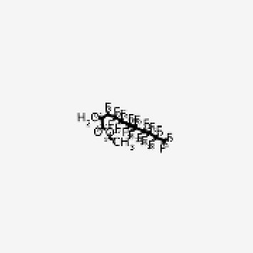 C=C(C(=O)OCC)C(F)C(F)(F)C(F)(F)C(F)(F)C(F)(F)C(F)(F)C(F)(F)C(F)(F)C(F)F